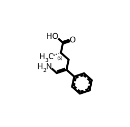 C[C@@H](CC(=CN)c1ccccc1)C(=O)O